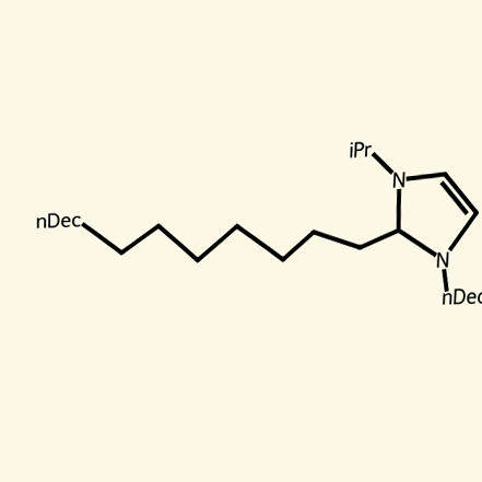 CCCCCCCCCCCCCCCCCC1N(CCCCCCCCCC)C=CN1C(C)C